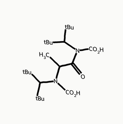 CC(C(=O)N(C(=O)O)C(C(C)(C)C)C(C)(C)C)N(C(=O)O)C(C(C)(C)C)C(C)(C)C